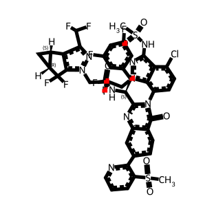 CS(=O)(=O)Nc1nn(CC(F)(F)F)c2c(-n3c([C@H](Cc4cc(F)cc(F)c4)NC(=O)Cn4nc(C(F)F)c5c4C(F)(F)[C@@H]4C[C@H]54)nc4cc(-c5ncccc5S(C)(=O)=O)ccc4c3=O)ccc(Cl)c12